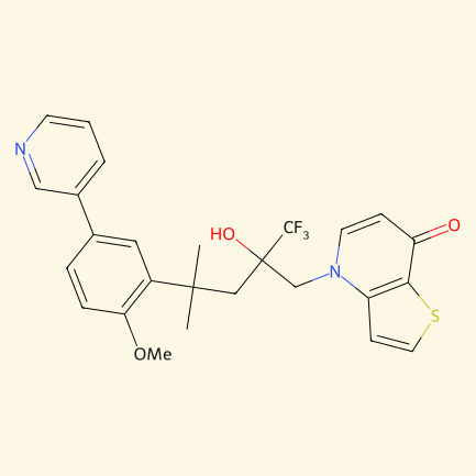 COc1ccc(-c2cccnc2)cc1C(C)(C)CC(O)(Cn1ccc(=O)c2sccc21)C(F)(F)F